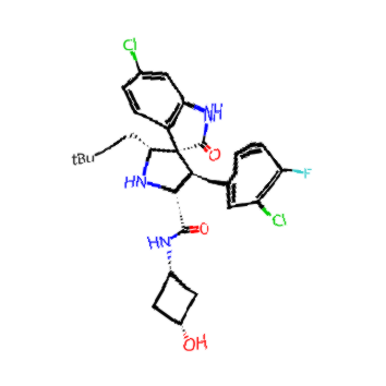 CC(C)(C)C[C@H]1N[C@@H](C(=O)N[C@H]2C[C@@H](O)C2)[C@H](c2ccc(F)c(Cl)c2)[C@@]12C(=O)Nc1cc(Cl)ccc12